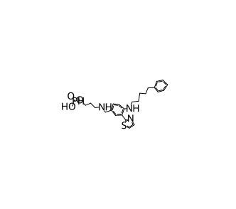 O=[PH](O)OCCCNCc1ccc(NCCCCCc2ccccc2)c(-c2nccs2)c1